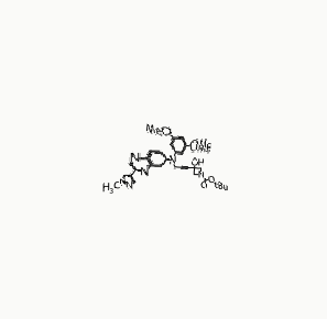 COc1cc(OC)cc(N(CC#CC2(O)CN(C(=O)OC(C)(C)C)C2)c2ccc3ncc(-c4cnn(C)c4)nc3c2)c1